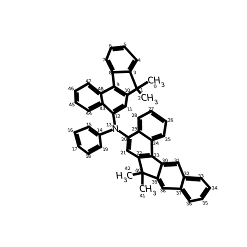 CC1(C)c2ccccc2-c2c1cc(N(c1ccccc1)c1cc3c(c4ccccc14)-c1cc4ccccc4cc1C3(C)C)c1ccccc21